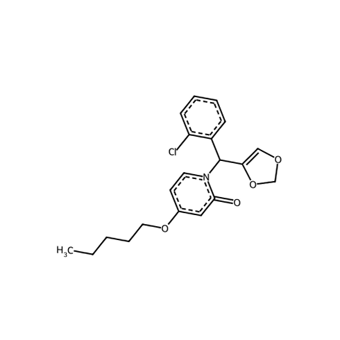 CCCCCOc1ccn(C(C2=COCO2)c2ccccc2Cl)c(=O)c1